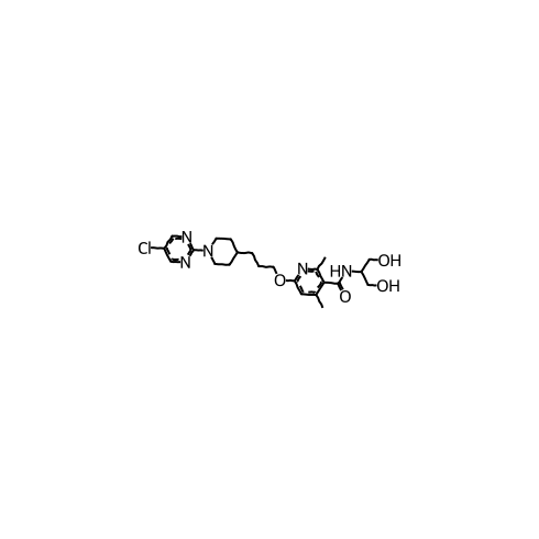 Cc1cc(OCCCC2CCN(c3ncc(Cl)cn3)CC2)nc(C)c1C(=O)NC(CO)CO